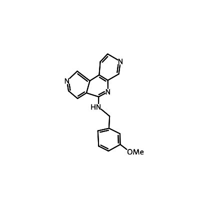 COc1cccc(CNc2nc3cnccc3c3cnccc23)c1